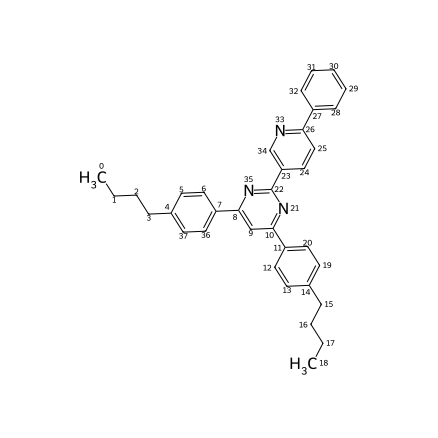 CCCCc1ccc(-c2cc(-c3ccc(CCCC)cc3)nc(-c3ccc(-c4ccccc4)nc3)n2)cc1